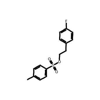 Cc1ccc(S(=O)(=O)OCCc2ccc(F)cc2)cc1